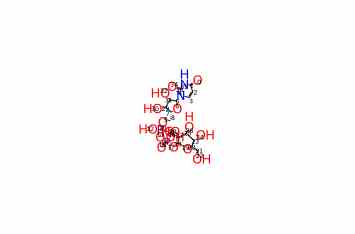 O=c1ccn([C@@H]2O[C@H](COP(=O)(O)OP(=O)(O)OC3O[C@H](CO)[C@@H](O)[C@H](O)[C@H]3O)[C@@H](O)[C@H]2O)c(=O)[nH]1